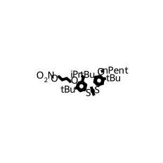 CCCCCOc1c(C(C)(C)C)cc(SC(C)(C)Sc2cc(CC(C)C)c(OCCCCO[N+](=O)[O-])c(C(C)(C)C)c2)cc1C(C)(C)C